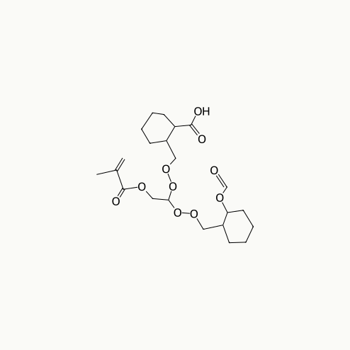 C=C(C)C(=O)OCC(OOCC1CCCCC1OC=O)OOCC1CCCCC1C(=O)O